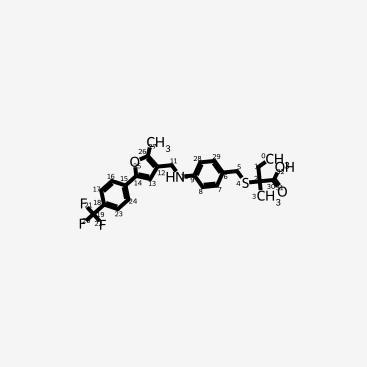 CCC(C)(SCc1ccc(NCc2cc(-c3ccc(C(F)(F)F)cc3)oc2C)cc1)C(=O)O